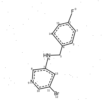 Fc1ccc(CNc2cncc(Br)c2)cc1